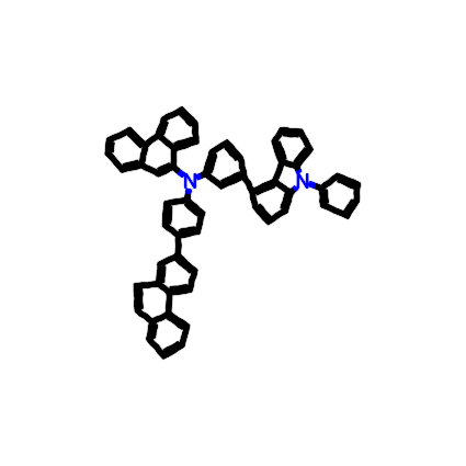 c1ccc(-n2c3ccccc3c3c(-c4cccc(N(c5ccc(-c6ccc7c(ccc8ccccc87)c6)cc5)c5cc6ccccc6c6ccccc56)c4)cccc32)cc1